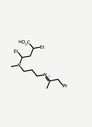 CCC(CC(CC)N(C)CCC/N=C(\C)CC(C)C)C(=O)O